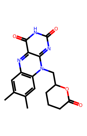 Cc1cc2nc3c(=O)[nH]c(=O)nc-3n(CC3CCCC(=O)O3)c2cc1C